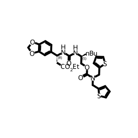 CCCC[C@@H](COC(=O)N(Cc1cccs1)Cc1cccs1)NC(=O)N[C@H](CC(=O)OCC)c1ccc2c(c1)OCO2